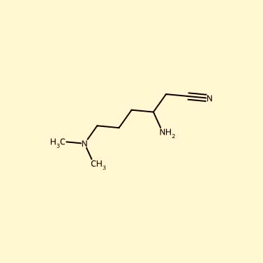 CN(C)CCCC(N)CC#N